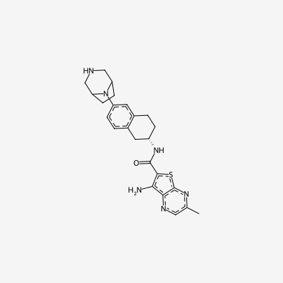 Cc1cnc2c(N)c(C(=O)N[C@H]3CCc4cc(N5C6CCC5CNC6)ccc4C3)sc2n1